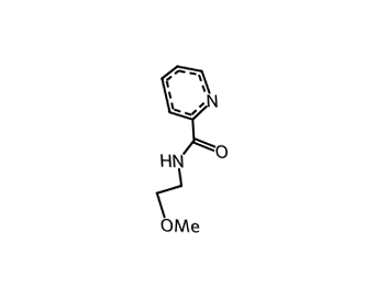 COCCNC(=O)c1ccccn1